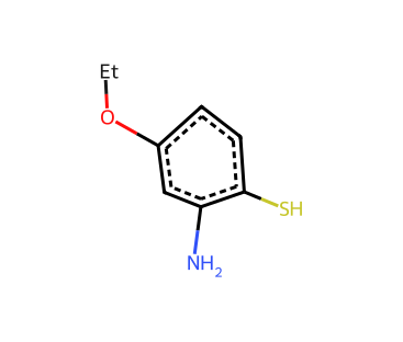 CCOc1ccc(S)c(N)c1